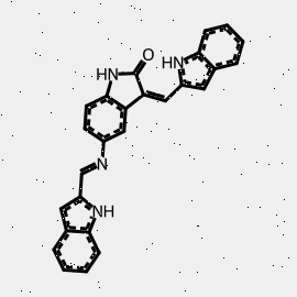 O=C1Nc2ccc(/N=C/c3cc4ccccc4[nH]3)cc2/C1=C/c1cc2ccccc2[nH]1